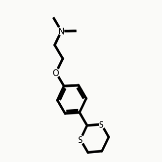 CN(C)CCOc1ccc(C2SCCCS2)cc1